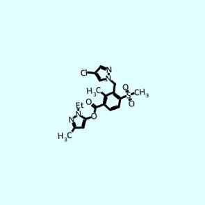 CCn1nc(C)cc1OC(=O)c1ccc(S(C)(=O)=O)c(Cn2cc(Cl)cn2)c1C